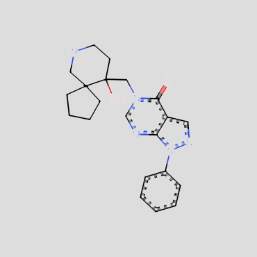 O=c1c2cnn(-c3ccccc3)c2ncn1CC1(O)CCNCC12CCCC2